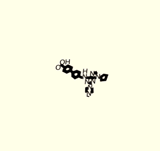 CN1CCN(c2nc(NCc3ccc(-c4ccc(C(=O)O)cc4)cc3)c3ncn(C4CCCC4)c3n2)CC1